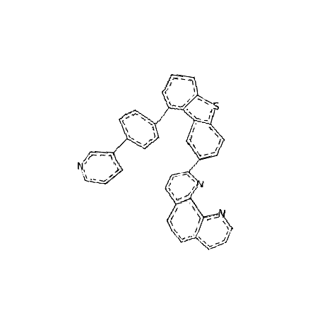 c1cncc(-c2ccc(-c3cccc4sc5ccc(-c6ccc7ccc8cccnc8c7n6)cc5c34)cc2)c1